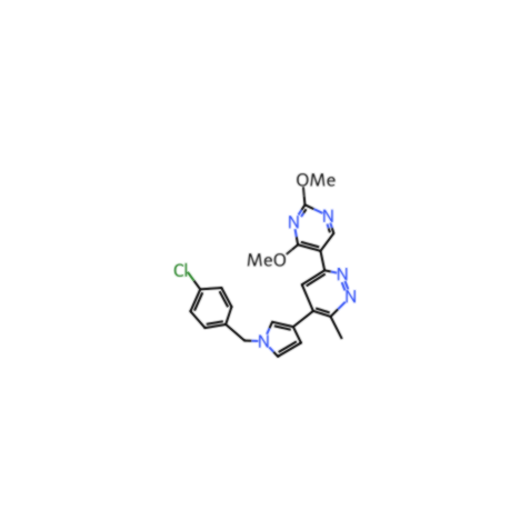 COc1ncc(-c2cc(-c3ccn(Cc4ccc(Cl)cc4)c3)c(C)nn2)c(OC)n1